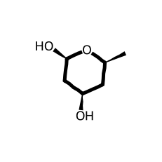 C[C@H]1C[C@@H](O)C[C@@H](O)O1